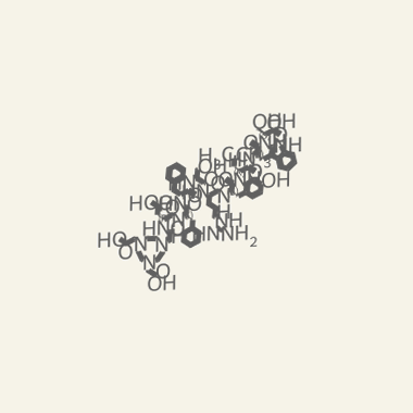 CC(C)C[C@@H](NC(=O)[C@H](Cc1ccc(O)cc1)NC(=O)C(CCCNC(=N)N)NC(=O)C(CO)NC(=O)C(Cc1ccccc1)NC(=O)[C@H](CC1CCCCC1)NC(=O)[C@@H](CC(=O)O)NC(=O)CN1CCN(CC(=O)O)CCN(CC(=O)O)CC1)C(=O)N[C@@H](Cc1c[nH]c2ccccc12)C(=O)N[C@@H](CO)C(=O)O